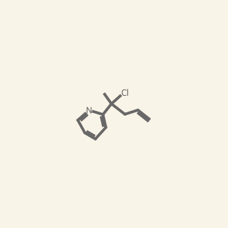 C=CCC(C)(Cl)c1ccccn1